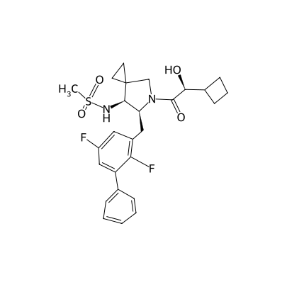 CS(=O)(=O)N[C@@H]1[C@H](Cc2cc(F)cc(-c3ccccc3)c2F)N(C(=O)[C@@H](O)C2CCC2)CC12CC2